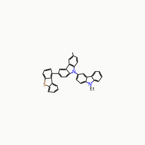 CCn1c2ccccc2c2cc(-n3c4ccc(C)cc4c4cc(-c5cccc6sc7ccccc7c56)ccc43)ccc21